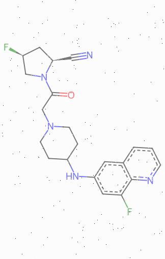 N#C[C@@H]1C[C@H](F)CN1C(=O)CN1CCC(Nc2cc(F)c3ncccc3c2)CC1